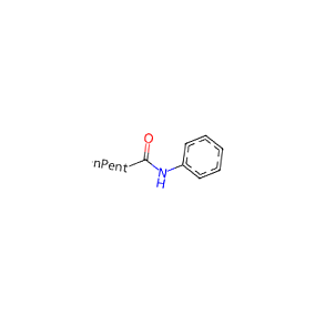 CCCC[CH]C(=O)Nc1ccccc1